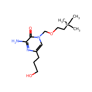 C[Si](C)(C)CCOCn1cc(CCCO)nc(N)c1=O